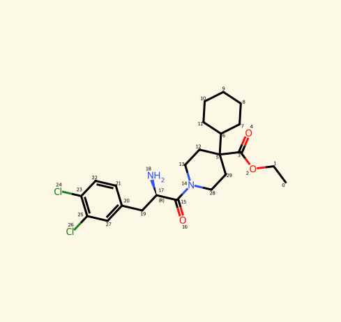 CCOC(=O)C1(C2CCCCC2)CCN(C(=O)[C@H](N)Cc2ccc(Cl)c(Cl)c2)CC1